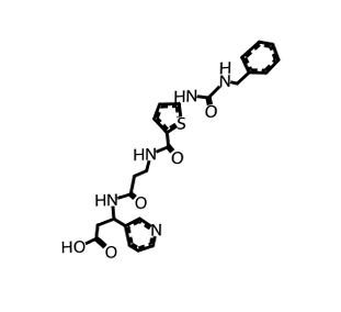 O=C(O)CC(NC(=O)CCNC(=O)c1ccc(NC(=O)NCc2ccccc2)s1)c1cccnc1